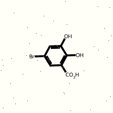 O=C(O)c1cc(Br)cc(O)c1O